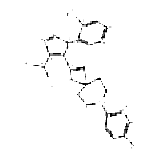 Cc1ccc(N2CCC3(C=C(c4c(C(F)F)cnn4-c4ccccc4C(F)(F)F)C3)CC2)nc1